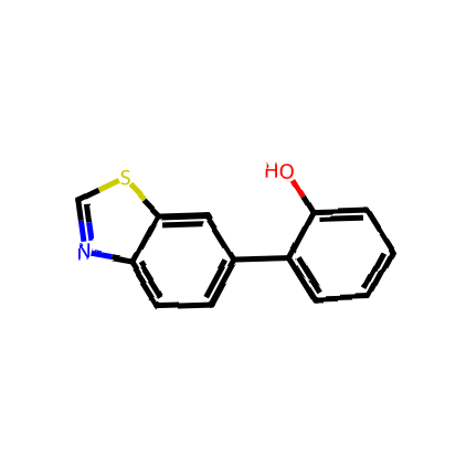 Oc1ccccc1-c1ccc2ncsc2c1